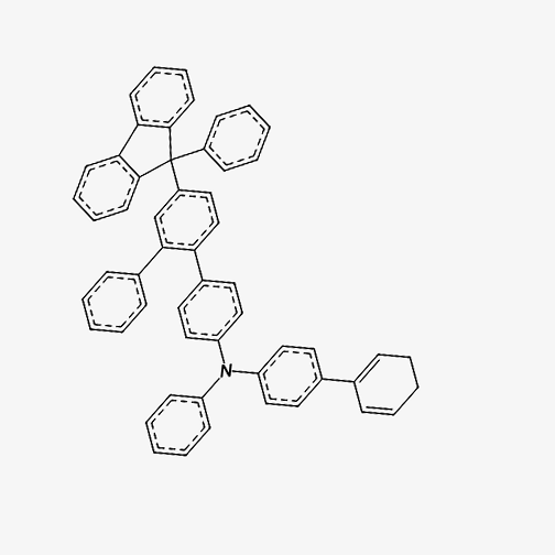 C1=CC(c2ccc(N(c3ccccc3)c3ccc(-c4ccc(C5(c6ccccc6)c6ccccc6-c6ccccc65)cc4-c4ccccc4)cc3)cc2)=CCC1